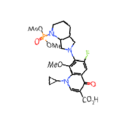 COc1c(N2CC3CCCN(P(=O)(OC)OC)C3C2)c(F)cc2c(=O)c(C(=O)O)cn(C3CC3)c12